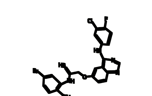 B=C(COc1ccc2ncnc(Nc3ccc(F)c(Cl)c3)c2c1)Nc1cc(Br)ccc1N